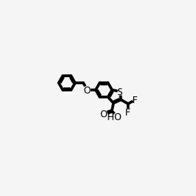 O=C(O)c1c(C(F)F)sc2ccc(OCc3ccccc3)cc12